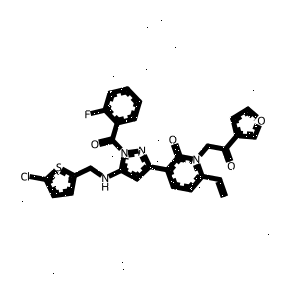 C=Cc1ccc(-c2cc(NCc3ccc(Cl)s3)n(C(=O)c3ccccc3F)n2)c(=O)n1CC(=O)c1ccoc1